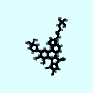 Cc1c2c(nn1C)C(=O)N1c3ccc4c(ncn4COCC[Si](C)(C)C)c3-c3cc(N4CCC(F)(F)C4)c(F)c(F)c3C21